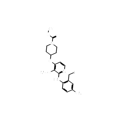 COc1c(OC2CCN(C(=O)OC(C)C)CC2)ccnc1Nc1ccc(C#N)cc1CI